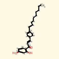 CCCCCCCCCCc1ccc(/C=C/C(=O)c2ccc(O)cc2O)cc1